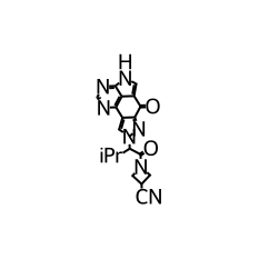 CC(C)C(C(=O)N1CC(C#N)C1)n1cc2c(n1)C(=O)c1c[nH]c3ncnc-2c13